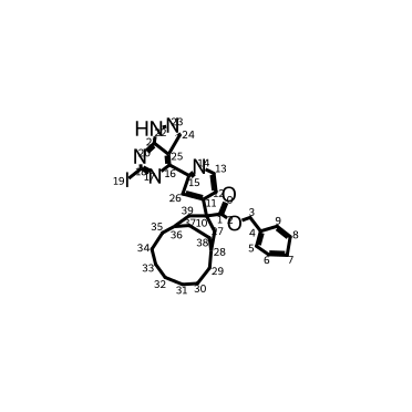 O=C(OCc1ccccc1)C1(c2ccnc(-c3nc(I)nc4[nH]ncc34)c2)CC2CCCCCCCC(CC2)C1